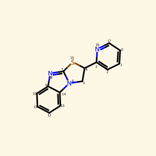 c1ccc(C2Cn3c(nc4ccccc43)S2)nc1